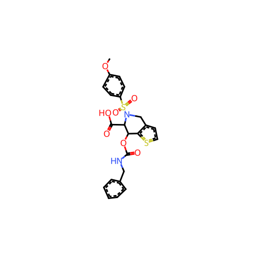 COc1ccc(S(=O)(=O)N2Cc3ccsc3C(OC(=O)NCc3ccccc3)C2C(=O)O)cc1